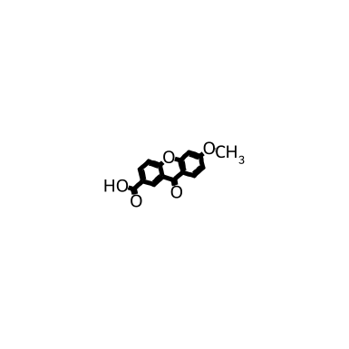 COc1ccc2c(=O)c3cc(C(=O)O)ccc3oc2c1